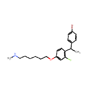 CNCCCCCCOc1ccc(C(C)c2ccc(Br)cc2)c(F)c1